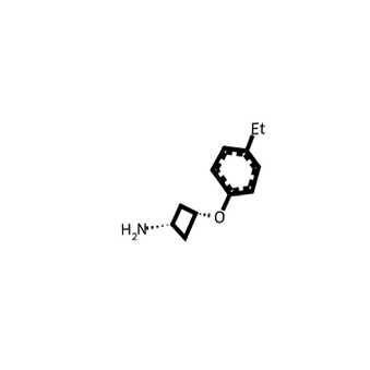 CCc1ccc(O[C@H]2C[C@@H](N)C2)cc1